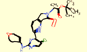 C[C@H](C(=O)OC(C)(C)C)N1Cc2ccc(-c3nc(NC4CCOCC4)ncc3Cl)nc2C1=O